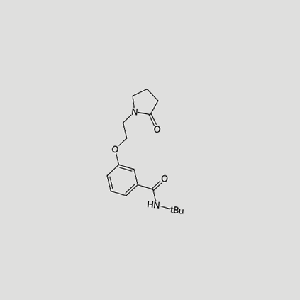 CC(C)(C)NC(=O)c1cccc(OCCN2CCCC2=O)c1